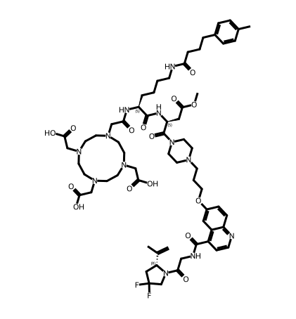 C=C(C)[C@H]1CC(F)(F)CN1C(=O)CNC(=O)c1ccnc2ccc(OCCCN3CCN(C(=O)[C@H](CC(=O)OC)NC(=O)[C@H](CCCCNC(=O)CCCc4ccc(C)cc4)NC(=O)CN4CCN(CC(=O)O)CCN(CC(=O)O)CCN(CC(=O)O)CC4)CC3)cc12